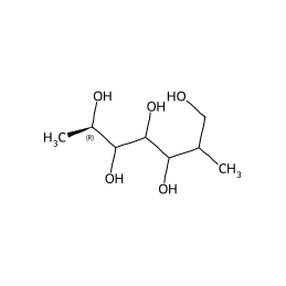 CC(CO)C(O)C(O)C(O)[C@@H](C)O